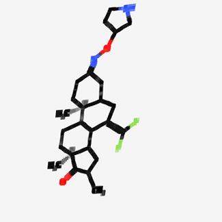 CC1CC2C3C(=C(F)F)CC4CC(=NOC5CCNC5)CC[C@]4(C)C3CC[C@]2(C)C1=O